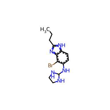 CCCc1nc2c(Br)c(NC3NCCN3)ccc2[nH]1